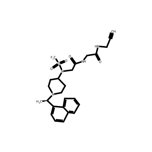 C#CCNC(=O)CNC(=O)CN(C1CCN([C@H](C)c2cccc3ccccc23)CC1)S(=O)(=O)C(F)(F)F